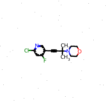 CC(C)(C#Cc1cnc(Cl)cc1F)N1CCOCC1